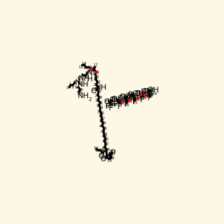 CCCCN(CNCCCNN(CCCC)C(C)CCCCCCNC(=O)CCCCCCCCCCCCCCCCCCCCCCCN(C(=O)CCC)N1C(=O)C=CC1=O)NCCCN.O=C(O)C(F)(F)F.O=C(O)C(F)(F)F.O=C(O)C(F)(F)F.O=C(O)C(F)(F)F.O=C(O)C(F)(F)F.O=C(O)C(F)(F)F